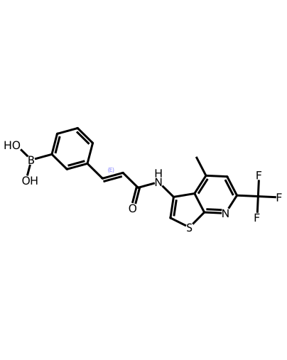 Cc1cc(C(F)(F)F)nc2scc(NC(=O)/C=C/c3cccc(B(O)O)c3)c12